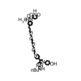 CCCCNc1ncc2c(C3=CCN(CCOCCOCCOCCOCCCc4ccc5c(c4)n(C)c(=O)n5[C@H]4CCC(=O)NC4=O)CC3)cn([C@H]3CC[C@H](O)CC3)c2n1